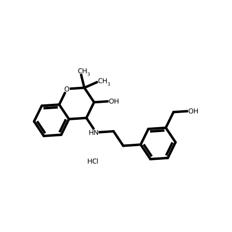 CC1(C)Oc2ccccc2C(NCCc2cccc(CO)c2)C1O.Cl